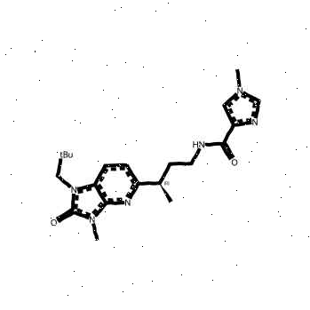 C[C@H](CCNC(=O)c1cn(C)cn1)c1ccc2c(n1)n(C)c(=O)n2CC(C)(C)C